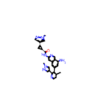 Cc1ccnc(-c2cnn(C)c2)c1-c1cc(N)c2cnc(NC(=O)[C@H]3C[C@@H]3c3cnn(C)c3)cc2c1